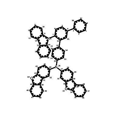 c1ccc(-c2ccc(-n3c4ccccc4c4ccccc43)c(-c3ccc(N(c4ccc5c(c4)oc4ccccc45)c4ccc5oc6ccccc6c5c4)cc3)c2)cc1